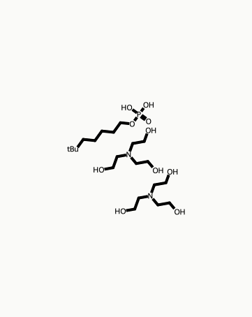 CC(C)(C)CCCCCOP(=O)(O)O.OCCN(CCO)CCO.OCCN(CCO)CCO